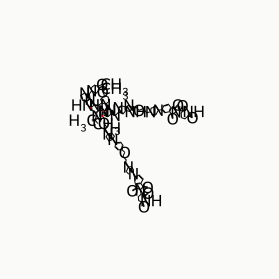 COC1CCN(c2nccc(Nc3cc4c(nc(COCCN5CCN(c6ccc(OCCCN7CCN(c8ccc9c(c8)C(=O)N(C8CCC(=O)NC8=O)C9=O)CC7)cc6)CC5)n4C(C)C)c(C4CC(OC)CCN4c4nccc(Nc5cc6[nH]c(COCCN7CCN(c8ccc9c(c8)C(=O)N(C8CCC(=O)NC8=O)C9=O)CC7)nc6cn5)n4)n3)n2)CC1